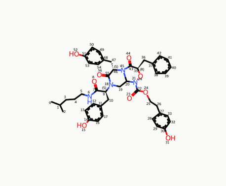 CC(C)CCCNC(=O)[C@H](Cc1ccc(O)cc1)N1CC2N(C(=O)OCCc3ccc(O)cc3)O[C@H](Cc3ccccc3)C(=O)N2[C@@H](Cc2ccc(O)cc2)C1=O